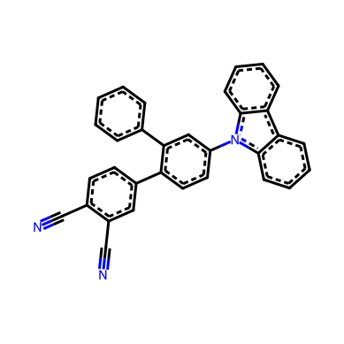 N#Cc1ccc(-c2ccc(-n3c4ccccc4c4ccccc43)cc2-c2ccccc2)cc1C#N